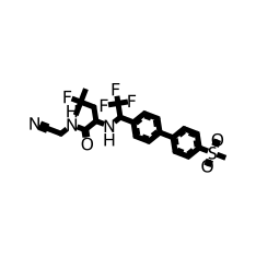 CC(C)(F)CC(NC(c1ccc(-c2ccc(S(C)(=O)=O)cc2)cc1)C(F)(F)F)C(=O)NCC#N